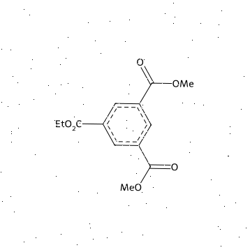 CCOC(=O)c1cc(C(=O)OC)cc(C(=O)OC)c1